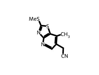 CSc1nc2ncc(CC#N)c(C)c2s1